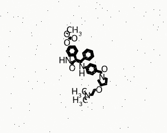 COC(=O)Oc1ccc2c(c1)NC(=O)/C2=C(\Nc1ccc(C(=O)N2CCC(OCCN(C)C)C2)cc1)c1ccccc1